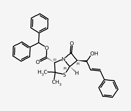 CC1(C)S[C@@H]2[C@H](C(O)C=Cc3ccccc3)C(=O)N2[C@H]1C(=O)OC(c1ccccc1)c1ccccc1